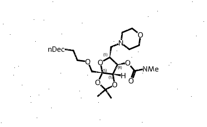 CCCCCCCCCCCCOC[C@@]12O[C@@H](CN3CCOCC3)[C@@H](OC(=O)NC)[C@@H]1OC(C)(C)O2